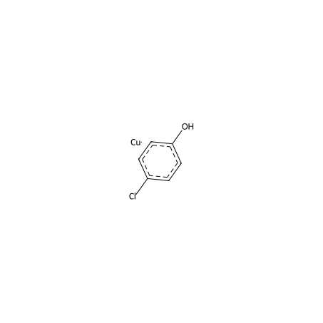 Oc1ccc(Cl)cc1.[Cu]